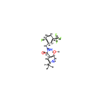 COc1cnc(C(C)(C)C)cc1C(=O)NCc1cc(C(F)(F)F)ccc1F